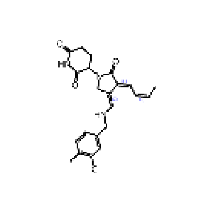 C\C=C/C=C1/C(=O)N(C2CCC(=O)NC2=O)C/C1=C\NCc1ccc(C)c(Cl)c1